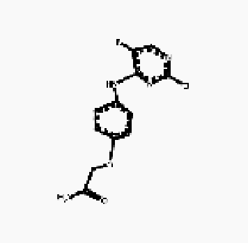 NC(=O)COc1ccc(Nc2nc(Cl)ncc2F)cc1